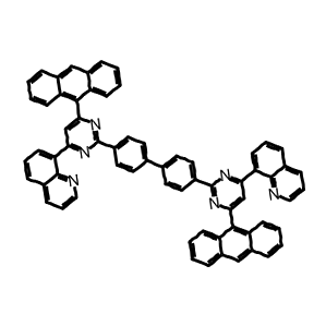 c1ccc2c(-c3cc(-c4cccc5cccnc45)nc(-c4ccc(-c5ccc(-c6nc(-c7c8ccccc8cc8ccccc78)cc(-c7cccc8cccnc78)n6)cc5)cc4)n3)c3ccccc3cc2c1